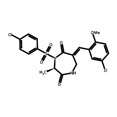 COc1ccc(Cl)cc1/C=C1\CNC(=O)[C@@H](C)N(S(=O)(=O)c2ccc(Cl)cc2)C1=O